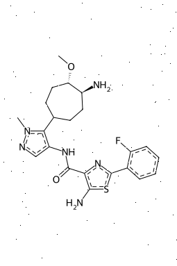 CO[C@H]1CCC(c2c(NC(=O)c3nc(-c4ccccc4F)sc3N)cnn2C)CC[C@@H]1N